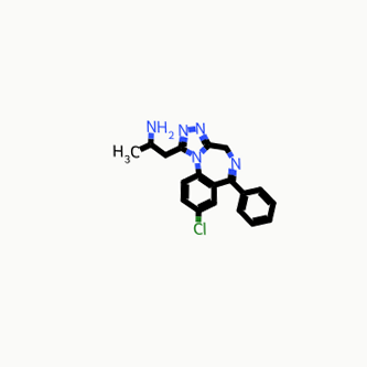 CC(N)Cc1nnc2n1-c1ccc(Cl)cc1C(c1ccccc1)=NC2